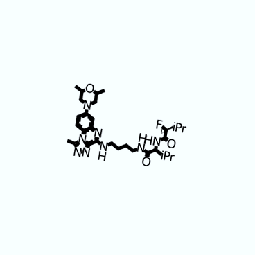 Cc1nnc2c(NCCCCNC(=O)C(NC(=O)[C@@H](F)C(C)C)C(C)C)nc3cc(N4CC(C)OC(C)C4)ccc3n12